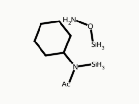 CC(=O)N([SiH3])C1CCCCC1.NO[SiH3]